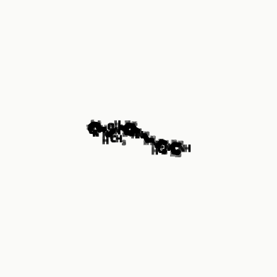 C[C@H](NCc1ccccn1)C(=O)NCc1ccc(CNCCCNC2CCN(C3CCNCC3)CC2)cc1